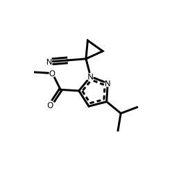 COC(=O)c1cc(C(C)C)nn1C1(C#N)CC1